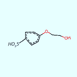 O=S(=O)(O)c1c[c]c(OCCO)cc1